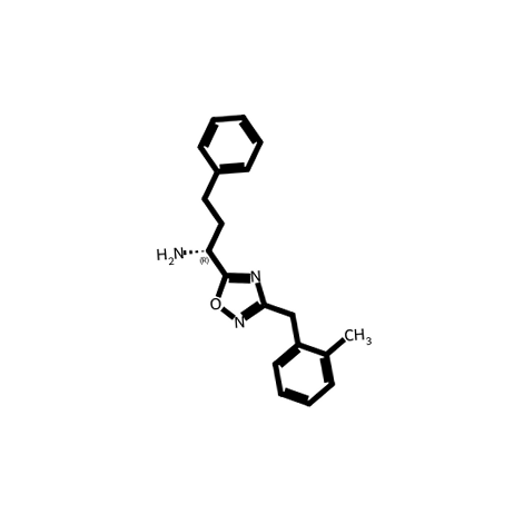 Cc1ccccc1Cc1noc([C@H](N)CCc2ccccc2)n1